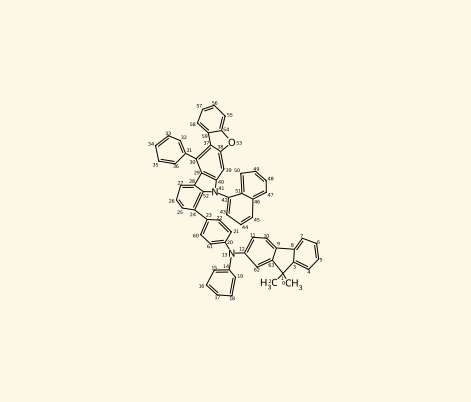 CC1(C)c2ccccc2-c2ccc(N(c3ccccc3)c3ccc(-c4cccc5c6c(-c7ccccc7)c7c(cc6n(-c6cccc8ccccc68)c45)oc4ccccc47)cc3)cc21